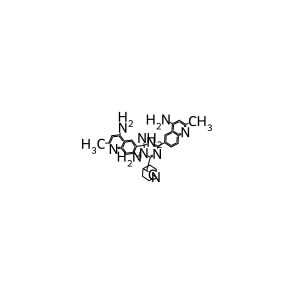 Cc1cc(N)c2cc(C3=NC(N)(c4ccc5nc(C)cc(N)c5c4)N(N)C(C4CN5CCC4CC5)=N3)ccc2n1